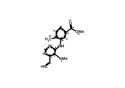 CNc1c(C=N)ncnc1Nc1cc(C(=O)OC)ccc1C